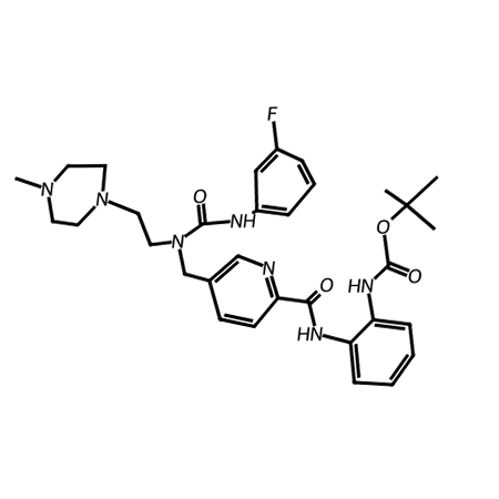 CN1CCN(CCN(Cc2ccc(C(=O)Nc3ccccc3NC(=O)OC(C)(C)C)nc2)C(=O)Nc2cccc(F)c2)CC1